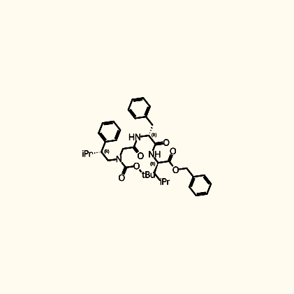 CC(C)C[C@@H](NC(=O)[C@@H](Cc1ccccc1)NC(=O)CN(C[C@@H](c1ccccc1)C(C)C)C(=O)OC(C)(C)C)C(=O)OCc1ccccc1